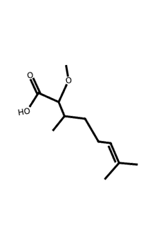 COC(C(=O)O)C(C)CCC=C(C)C